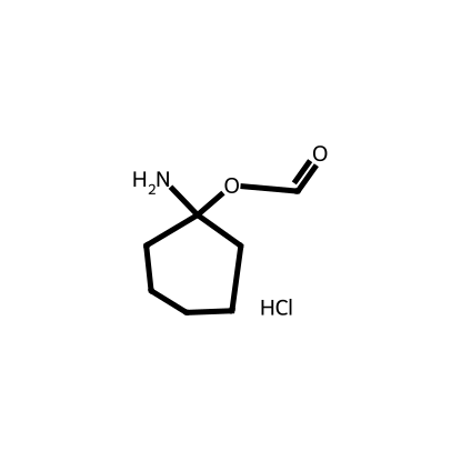 Cl.NC1(OC=O)CCCCC1